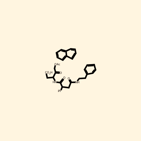 CC(=O)OCC(=O)C(CC(=O)O)NC(=O)C(CC(=O)NCCc1ccccc1)C(C)C.c1ccc2ccccc2c1